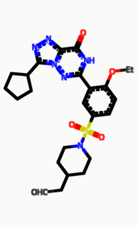 CCOc1ccc(S(=O)(=O)N2CCC(CC=O)CC2)cc1-c1nn2c(C3CCCC3)nnc2c(=O)[nH]1